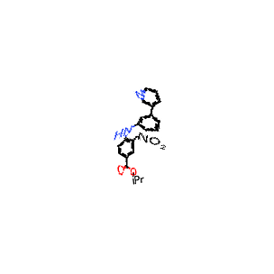 CC(C)OC(=O)c1ccc(Nc2cccc(-c3cccnc3)c2)c([N+](=O)[O-])c1